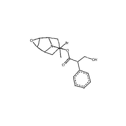 CC(Br)N1C2CC(OC(=O)C(CO)c3ccccc3)CC1C1OC12